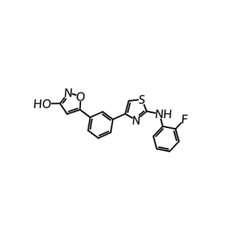 Oc1cc(-c2cccc(-c3csc(Nc4ccccc4F)n3)c2)on1